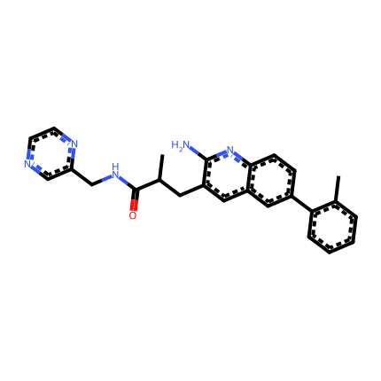 Cc1ccccc1-c1ccc2nc(N)c(CC(C)C(=O)NCc3cnccn3)cc2c1